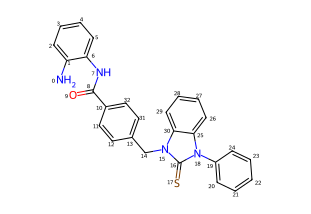 Nc1ccccc1NC(=O)c1ccc(Cn2c(=S)n(-c3ccccc3)c3ccccc32)cc1